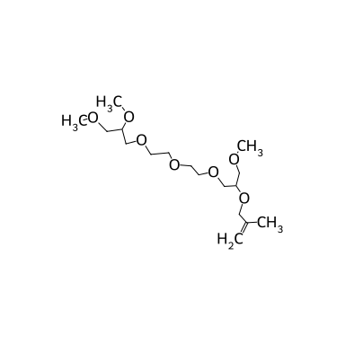 C=C(C)COC(COC)COCCOCCOCC(COC)OC